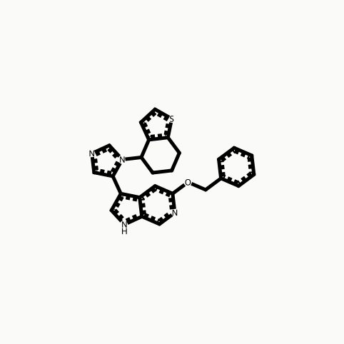 c1ccc(COc2cc3c(-c4cncn4C4CCCc5sccc54)c[nH]c3cn2)cc1